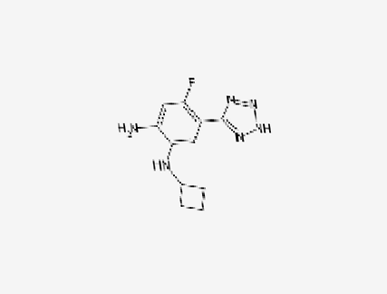 Nc1cc(F)c(-c2nn[nH]n2)cc1NC1CCC1